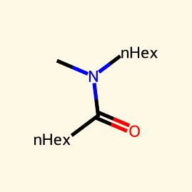 [CH2]CCCCCN(C)C(=O)CCCCCC